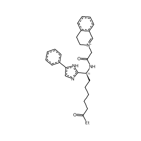 CCC(=O)CCCCC[C@H](NC(=O)C[N+]1=Cc2ccccc2CC1)c1ncc(-c2ccccc2)[nH]1